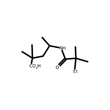 CCC(C)(C)C(=O)NC(C)CC(C)(C)C(=O)O